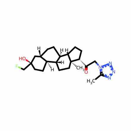 Cc1nnnn1CC(=O)[C@H]1CC[C@H]2[C@@H]3CC[C@H]4C[C@@](O)(CF)CC[C@@H]4[C@H]3CC[C@]12C